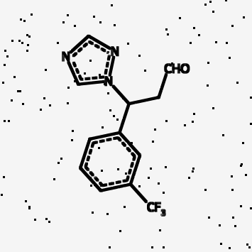 O=CCC(c1cccc(C(F)(F)F)c1)n1cncn1